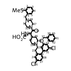 CSc1ccccc1CN1CCN(C(=O)[C@H](NC(=O)O)C2CCN(CCc3cc(Cl)ccc3-c3cc(Cl)cc(OCc4ccccc4)c3)CC2)CC1